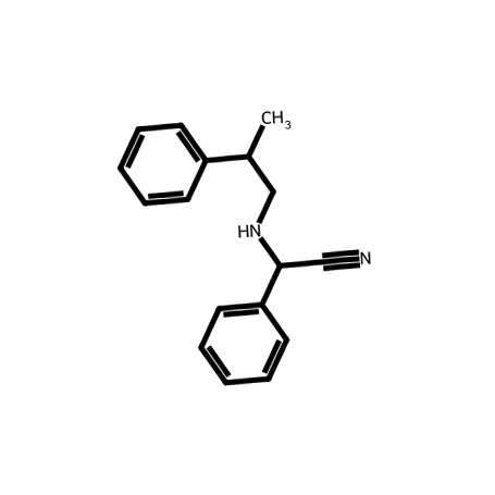 CC(CNC(C#N)c1ccccc1)c1ccccc1